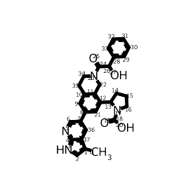 Cc1c[nH]c2ncc(-c3cc4c(c(C5CCCN5C(=O)O)c3)CN(C(=O)C(O)c3ccccc3)CC4)cc12